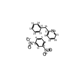 O=[N+]([O-])c1cccc([N+](=O)[O-])c1.c1ccc(Cc2ccccn2)cc1